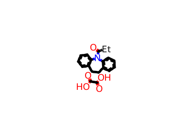 CCC(=O)N1c2ccccc2CCc2ccccc21.O=C(O)C(=O)O